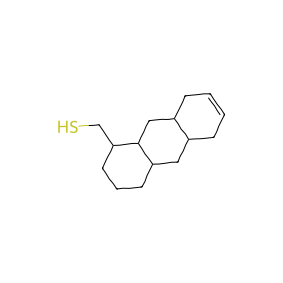 SCC1CCCC2CC3CC=CCC3CC12